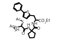 CC(=O)S.CCOC(=O)C(Cc1ccc(-c2ccccc2)s1)NC(=O)C1(NC(=O)C(SC(C)=O)C(C)C)CCCC1